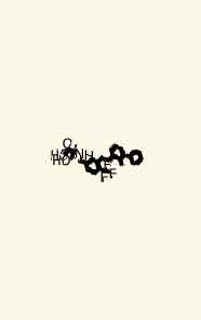 Cc1c(CCc2cc(CN[C@](C)(CO)C(=O)O)ccc2C(F)(F)F)cccc1-c1ccccc1